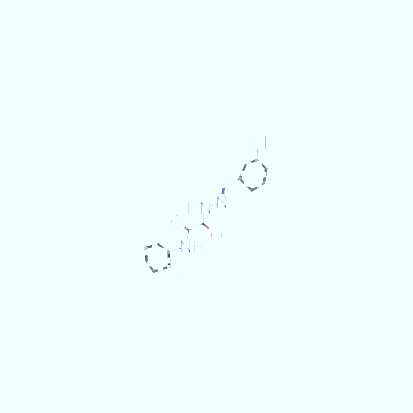 Cc1ccccc1NC(=O)C(=O)N/N=C/c1cccc(Cl)c1